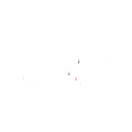 CCOC1=CC2=CC[C@@H]3[C@H]([C@H](O)C[C@]4(C)C(=O)CC[C@@H]34)[C@@]2(C)CC1